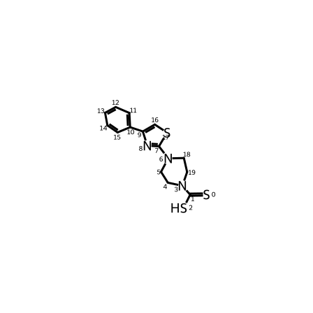 S=C(S)N1CCN(c2nc(-c3ccccc3)cs2)CC1